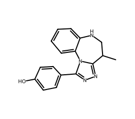 CC1CNc2ccccc2-n2c(-c3ccc(O)cc3)nnc21